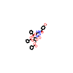 COc1ccc(C(=O)Nc2ccn([C@H]3O[C@@H](COC(=O)c4ccccc4)[C@H](OC(=O)c4ccccc4)[C@@H]3OC(=O)c3ccccc3)c(=O)n2)cc1